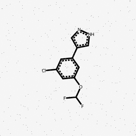 FC(F)Oc1cc(Cl)cc(-c2cn[nH]c2)c1